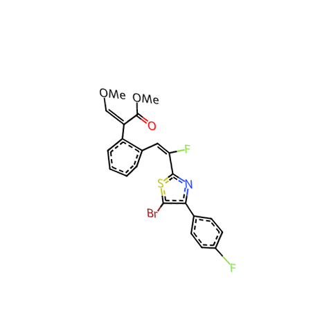 CO/C=C(\C(=O)OC)c1ccccc1/C=C(/F)c1nc(-c2ccc(F)cc2)c(Br)s1